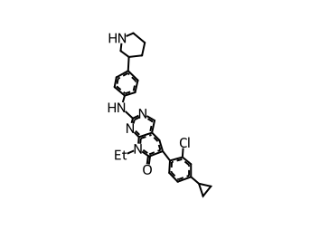 CCn1c(=O)c(-c2ccc(C3CC3)cc2Cl)cc2cnc(Nc3ccc(C4CCCNC4)cc3)nc21